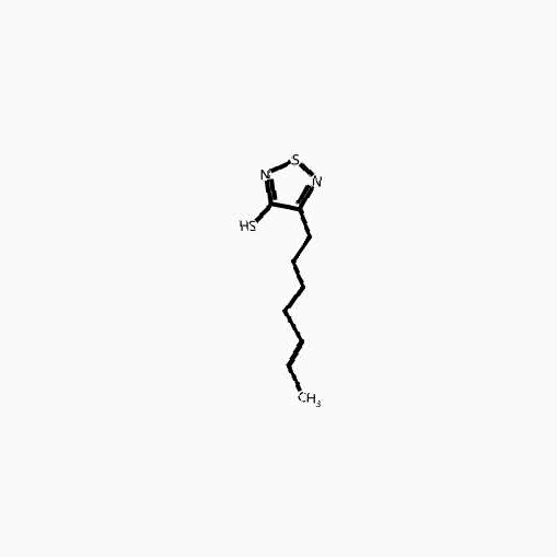 CCCCCCCc1nsnc1S